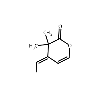 CC1(C)C(=O)OC=CC1=CI